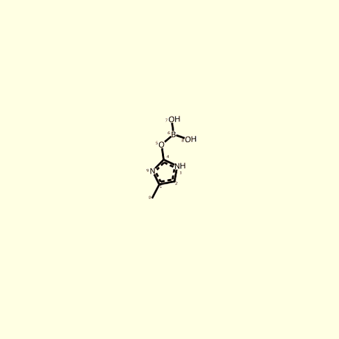 Cc1c[nH]c(OB(O)O)n1